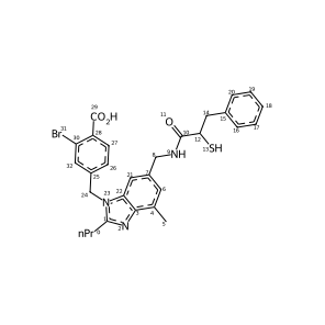 CCCc1nc2c(C)cc(CNC(=O)C(S)Cc3ccccc3)cc2n1Cc1ccc(C(=O)O)c(Br)c1